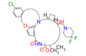 CC1[C@@H](C)CCC[C@](O)(CN2CCC(F)(F)CC2)[C@@H]2CC[C@H]2CN2CCCCc3cc(Cl)ccc3COc3ccc(cc32)C(=O)NS1(=O)=O